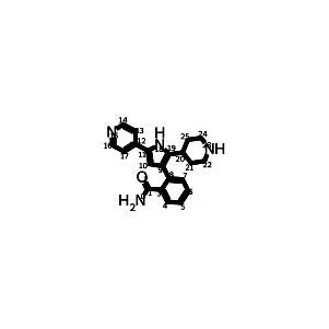 NC(=O)c1ccccc1-c1cc(-c2ccncc2)[nH]c1C1CCNCC1